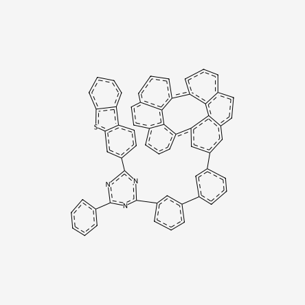 c1ccc(-c2nc(-c3cccc(-c4cccc(-c5cc6ccc7cccc8c9cccc%10ccc%11cccc(c(c5)c6c78)c%11c%109)c4)c3)nc(-c3ccc4c(c3)sc3ccccc34)n2)cc1